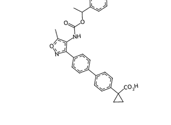 Cc1ccc(C(C)OC(=O)Nc2c(-c3ccc(-c4ccc(C5(C(=O)O)CC5)cc4)cc3)noc2C)cc1